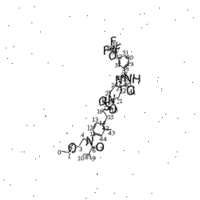 CCOCCN(C(=O)C(C)C)c1ccc(CCS(=O)(=O)N2CCC3(CC2)N=C(c2cccc(OC(F)(F)F)c2)NC3=O)c(C)c1